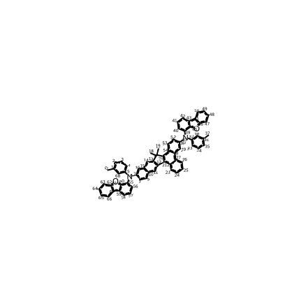 Cc1cccc(N(c2ccc3cc4c(cc3c2)C(C)(C)c2c-4c3ccccc3c3cc(N(c4cccc(C)c4)c4cccc5c4oc4ccccc45)ccc23)c2cccc3c2oc2ccccc23)c1